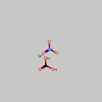 O=C(O)O.O=[N+]([O-])[O-].[Li+]